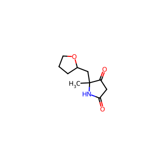 CC1(CC2CCCO2)NC(=O)CC1=O